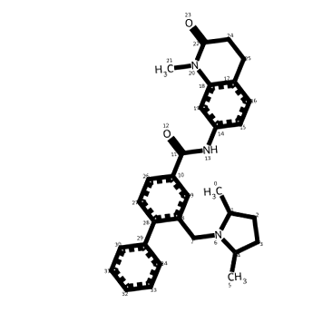 CC1CCC(C)N1Cc1cc(C(=O)Nc2ccc3c(c2)N(C)C(=O)CC3)ccc1-c1ccccc1